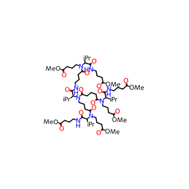 COC(=O)CCCNC(=O)C(C(C)C)N(CCCC(=O)OC)C(=O)CCCNC(=O)C(C(C)C)N(CCCC(=O)N(CCCC(=O)OC)C(C(=O)NCCCC(=O)OC)C(C)C)C(=O)CCCC(=O)N(CCCC(=O)OC)C(C(=O)NCCCC(=O)OC)C(C)C